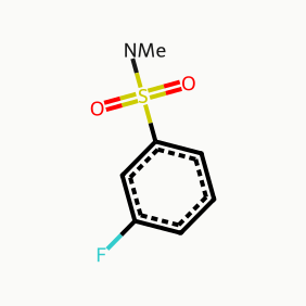 CNS(=O)(=O)c1cccc(F)c1